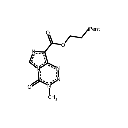 CCCC(C)CCOC(=O)c1ncn2c(=O)n(C)nnc12